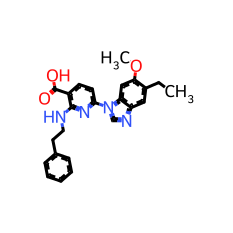 CCc1cc2ncn(-c3ccc(C(=O)O)c(NCCc4ccccc4)n3)c2cc1OC